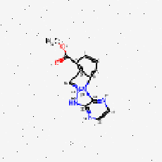 COC(=O)c1cccc2c1c[n+]1[nH]c3nccnc3n21